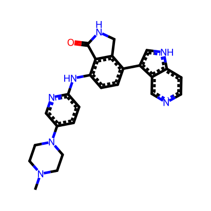 CN1CCN(c2ccc(Nc3ccc(-c4c[nH]c5ccncc45)c4c3C(=O)NC4)nc2)CC1